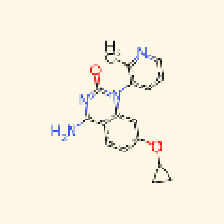 Cc1ncccc1-n1c(=O)nc(N)c2ccc(OC3CC3)cc21